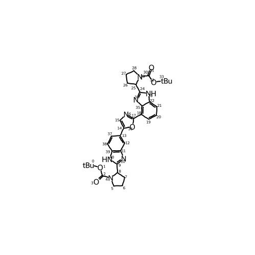 CC(C)(C)OC(=O)N1CCCC1c1nc2cc(-c3cnc(-c4cccc5[nH]c(C6CCCN6C(=O)OC(C)(C)C)nc45)o3)ccc2[nH]1